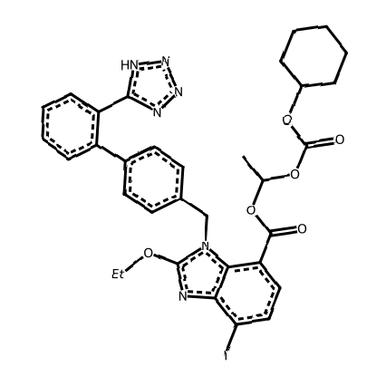 CCOc1nc2c(I)ccc(C(=O)OC(C)OC(=O)OC3CCCCC3)c2n1Cc1ccc(-c2ccccc2-c2nnn[nH]2)cc1